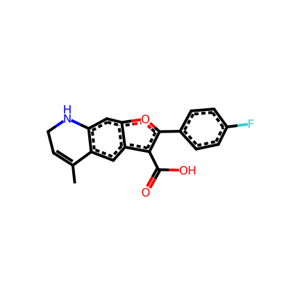 CC1=CCNc2cc3oc(-c4ccc(F)cc4)c(C(=O)O)c3cc21